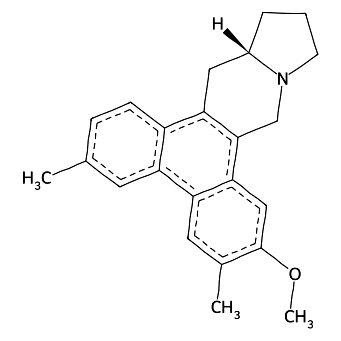 COc1cc2c3c(c4ccc(C)cc4c2cc1C)C[C@@H]1CCCN1C3